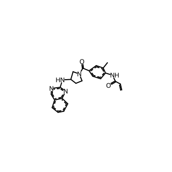 C=CC(=O)Nc1ccc(C(=O)N2CCC(Nc3ncc4ccccc4n3)C2)cc1C